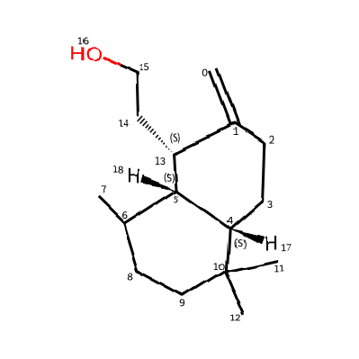 C=C1CC[C@H]2[C@H](C(C)CCC2(C)C)[C@@H]1CCO